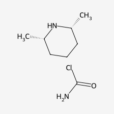 C[C@@H]1CCC[C@H](C)N1.NC(=O)Cl